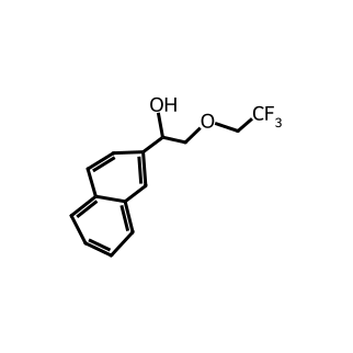 OC(COCC(F)(F)F)c1ccc2ccccc2c1